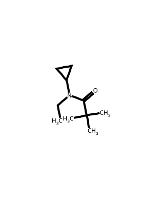 CCN(C(=O)C(C)(C)C)C1CC1